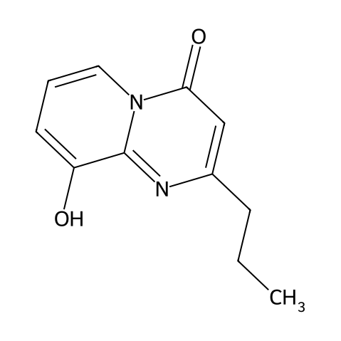 CCCc1cc(=O)n2cccc(O)c2n1